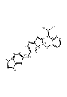 FC(F)Oc1ccccc1Cn1ccc2cnc(Nc3ccc4ncsc4c3)cc21